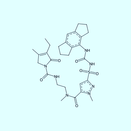 CCC1=C(C)CN(C(=O)NCCN(C)C(=O)c2cc(S(=O)(=O)NC(=O)Nc3c4c(cc5c3CCC5)CCC4)nn2C)C1=O